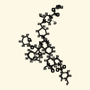 Cc1ccc(S(=O)(=O)n2ccc3c(-c4ccc5nc(N6CCC(CN7C[C@@H](C)N(C(=O)OC(C)(C)C)C[C@@H]7C)CC6)nc(C(COC6CCCCO6)(OC6CC6)c6ccccc6)c5c4)cn(C)c(=O)c32)cc1